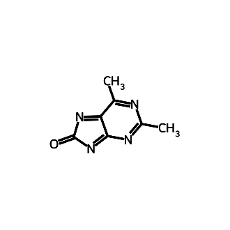 Cc1nc(C)c2c(n1)=NC(=O)N=2